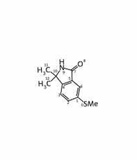 CSc1ccc2c(c1)C(=O)NC2(C)C